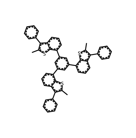 Cc1sc2c(-c3cc(-c4cccc5c(-c6ccccc6)c(C)sc45)cc(-c4cccc5c(-c6ccccc6)c(C)sc45)c3)cccc2c1-c1ccccc1